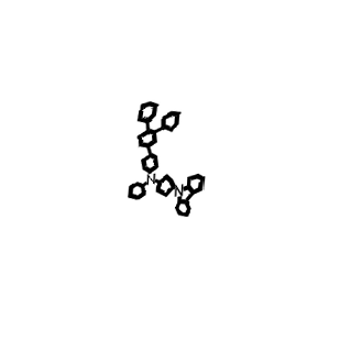 c1ccc(-c2ccc(-c3ccc(N(c4ccccc4)c4ccc(-n5c6ccccc6c6ccccc65)cc4)cc3)cc2-c2ccccc2)cc1